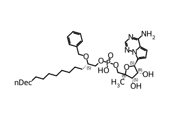 CCCCCCCCCCCCCCCCCC[C@@H](COP(=O)(O)OC[C@@]1(C)O[C@@H](c2ccc3c(N)ncnn23)[C@H](O)[C@@H]1O)OCc1ccccc1